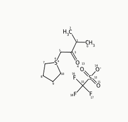 CC(C)C(=O)C[S+]1CCCC1.O=S(=O)([O-])C(F)(F)F